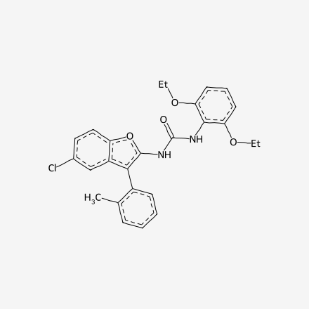 CCOc1cccc(OCC)c1NC(=O)Nc1oc2ccc(Cl)cc2c1-c1ccccc1C